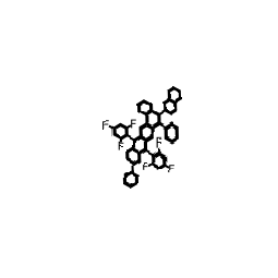 Fc1cc(F)c(-c2c3cc(-c4ccccc4)ccc3c(-c3c(F)cc(F)cc3F)c3cc4c(cc23)c(-c2ccccc2)c(-c2ccc3ccccc3c2)c2ccccc24)c(F)c1